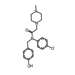 CN1CCN(CC(=O)N(Cc2ccc(O)cc2)c2ccc(Cl)cc2)CC1